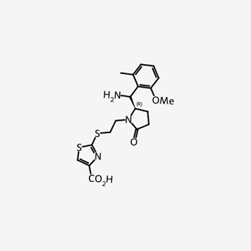 COc1cccc(C)c1C(N)[C@H]1CCC(=O)N1CCSc1nc(C(=O)O)cs1